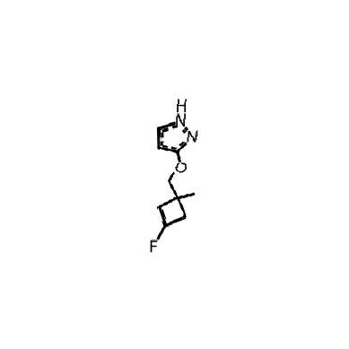 CC1(COc2cc[nH]n2)CC(F)C1